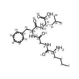 CCCC[C@H](N)C(=O)NCC(=O)N[C@@H](Cc1ccccc1)C(=O)N[C@@H](CC(C)C)C(=O)O